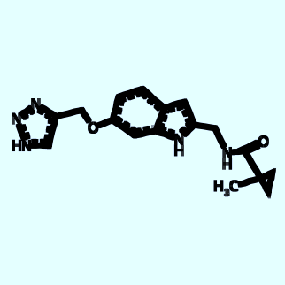 CC1(C(=O)NCc2cc3ccc(OCc4c[nH]nn4)cc3[nH]2)CC1